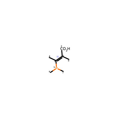 C/C(C(=O)O)=C(/C)P(C)C